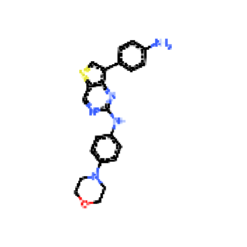 Nc1ccc(-c2csc3cnc(Nc4ccc(N5CCOCC5)cc4)nc23)cc1